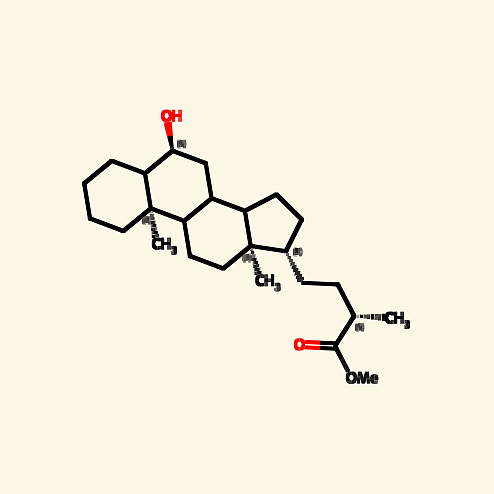 COC(=O)[C@@H](C)CC[C@H]1CCC2C3C[C@H](O)C4CCCC[C@]4(C)C3CC[C@@]21C